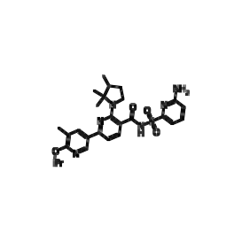 Cc1cc(-c2ccc(C(=O)NS(=O)(=O)c3cccc(N)n3)c(N3CCC(C)C3(C)C)n2)cnc1OC(C)C